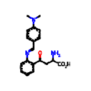 CN(C)c1ccc(/C=N/c2ccccc2C(=O)CC(N)C(=O)O)cc1